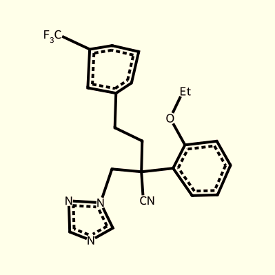 CCOc1ccccc1C(C#N)(CCc1cccc(C(F)(F)F)c1)Cn1cncn1